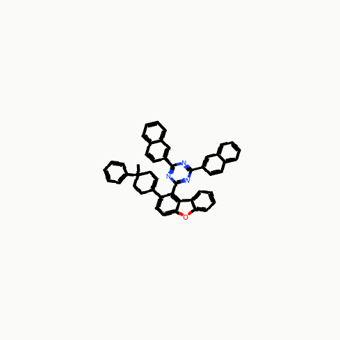 CC1(c2ccccc2)CC=C(c2ccc3oc4ccccc4c3c2-c2nc(-c3ccc4ccccc4c3)nc(-c3ccc4ccccc4c3)n2)CC1